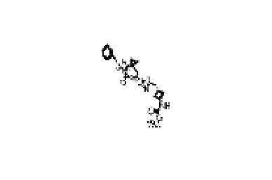 CC(C)(C)OC(=O)N[C@H]1C[C@H](Cc2nnc([C@@H]3CC4(CC4)[C@H]4CN3C(=O)N4OCc3ccccc3)o2)C1